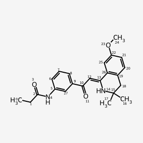 CCC(=O)Nc1cccc(C(=O)/C=C2\NC(C)(C)Cc3ccc(OC)cc32)c1